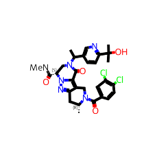 CNC(=O)[C@@H]1CN(C(C)c2ccc(C(C)(C)O)nc2)C(=O)c2c3c(nn21)C[C@@H](C)N(C(=O)c1ccc(Cl)c(Cl)c1)C3